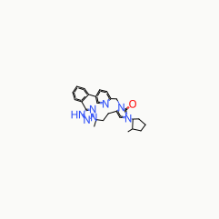 CCCCc1cn(C2CCCC2C)c(=O)n1Cc1ccc(-c2ccccc2-c2nnn[nH]2)cn1